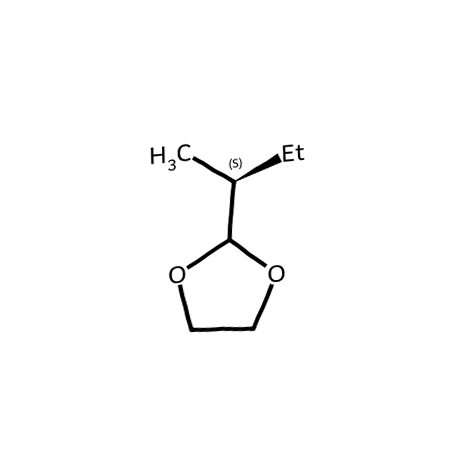 CC[C@H](C)C1OCCO1